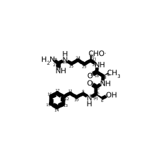 C[C@H](NC(=O)[C@@H](CO)NCCCc1ccccc1)C(=O)N[C@H]([C]=O)CCCNC(=N)N